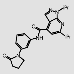 CC(C)c1cc(C(=O)Nc2cccc(N3CCCC3=O)c2)c2cnn(C(C)C)c2n1